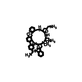 CN1C(=O)[C@H](CN)NC(=O)[C@H](CCCN)NCc2cccnc2Sc2c(Cl)ccc(-c3ccc(CN)cc3)c2CNC(=O)[C@@H]1Cc1c[nH]c2ccccc12